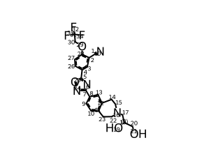 N#Cc1cc(-c2nc(-c3ccc4c(c3)CCN(C[C@H](O)CO)CC4)no2)ccc1OCC(F)(F)F